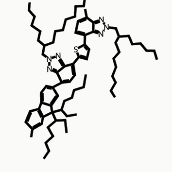 CCCCCCCCC(CCCCCC)Cn1nc2c(C)ccc(-c3ccc(-c4ccc(-c5ccc6c(c5)C(C(CC)CCCCC)(C(CC)CCCCC)c5cc(C)ccc5-6)c5nn(CC(CCCCCC)CCCCCCCC)nc45)s3)c2n1